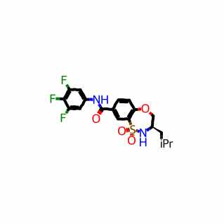 CC(C)C[C@@H]1COc2ccc(C(=O)Nc3cc(F)c(F)c(F)c3)cc2S(=O)(=O)N1